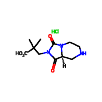 CC(C)(CN1C(=O)[C@@H]2CNCCN2C1=O)C(=O)O.Cl